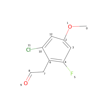 COc1cc(F)c(CC=O)c(Cl)c1